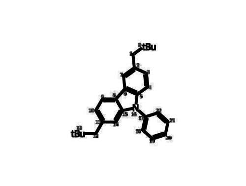 CC(C)(C)Cc1ccc2c(c1)c1ccc(CC(C)(C)C)cc1n2-c1ccccc1